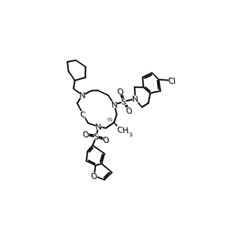 C[C@H]1CN(S(=O)(=O)c2ccc3occc3c2)CCCN(CC2CCCCC2)CCCN(S(=O)(=O)N2CCc3cc(Cl)ccc3C2)C1